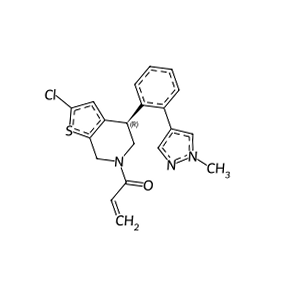 C=CC(=O)N1Cc2sc(Cl)cc2[C@@H](c2ccccc2-c2cnn(C)c2)C1